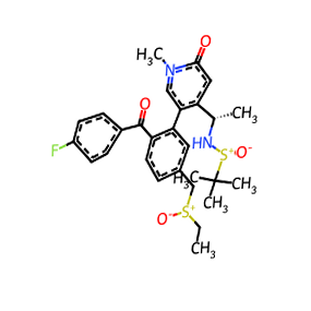 CC[S+]([O-])Cc1ccc(C(=O)c2ccc(F)cc2)c(-c2cn(C)c(=O)cc2[C@H](C)N[S@@+]([O-])C(C)(C)C)c1